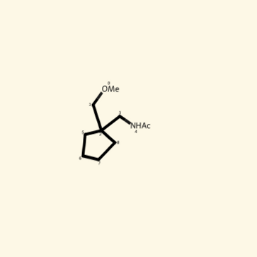 COCC1(CNC(C)=O)CCCC1